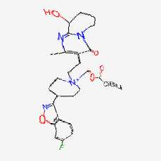 Cc1nc2n(c(=O)c1CC[N+]1(COC(=O)OCC(C)C)CCC(c3noc4cc(F)ccc34)CC1)CCCC2O